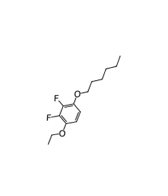 CCCCCCOc1ccc(OCC)c(F)c1F